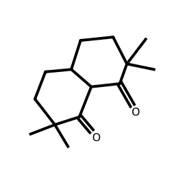 CC1(C)CCC2CCC(C)(C)C(=O)C2C1=O